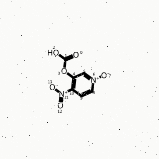 O=C(O)Oc1c[n+]([O-])ccc1[N+](=O)[O-]